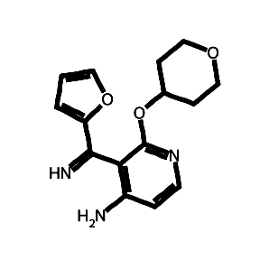 N=C(c1ccco1)c1c(N)ccnc1OC1CCOCC1